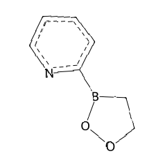 c1ccc(B2CCOO2)nc1